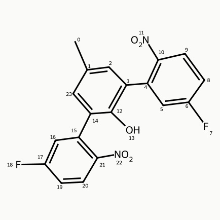 Cc1cc(-c2cc(F)ccc2[N+](=O)[O-])c(O)c(-c2cc(F)ccc2[N+](=O)[O-])c1